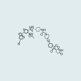 CNc1cc(-c2ccc3cc(C#N)cnn23)ncc1-c1nnc([C@H]2CC[C@H](NC(=O)CN3CCC4(CC3)CN(c3ccc5c(c3)C(=O)N(C3CCC(=O)NC3=O)C5=O)C4)CC2)s1